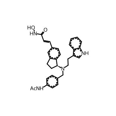 CC(=O)Nc1ccc(CN(CCc2c[nH]c3ccccc23)[C@H]2CCc3cc(/C=C/C(=O)NO)ccc32)cc1